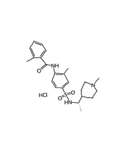 Cc1cc(S(=O)(=O)N[C@@H](C)C2CCN(C)CC2)ccc1NC(=O)c1ccccc1C.Cl